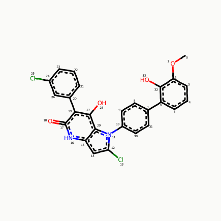 COc1cccc(-c2ccc(-n3c(Cl)cc4[nH]c(=O)c(-c5cccc(Cl)c5)c(O)c43)cc2)c1O